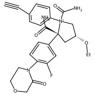 C#Cc1ccc([N+]2(C(N)=O)C[C@H](OCC)C[C@]2(C(N)=O)c2ccc(N3CCOCC3=O)c(F)c2)cc1